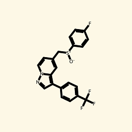 [O-][S+](Cc1ccn2ncc(-c3ccc(C(F)(F)F)cc3)c2c1)c1ccc(F)cc1